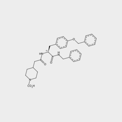 O=C(CC1CCN(C(=O)O)CC1)N[C@@H](Cc1ccc(OCc2ccccc2)cc1)C(=O)NCc1ccccc1